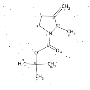 C=C1CCN(C(=O)OC(C)(C)C)C1C